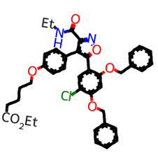 CCNC(=O)c1noc(-c2cc(Cl)c(OCc3ccccc3)cc2OCc2ccccc2)c1-c1ccc(OCCCCC(=O)OCC)cc1